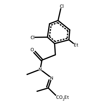 CCOC(=O)C(C)=NN(C)C(=O)Cc1c(Cl)cc(Cl)cc1CC